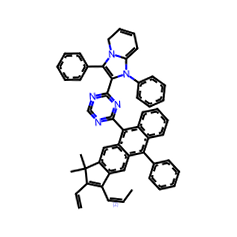 C=CC1=C(/C=C\C)c2cc3c(-c4ccccc4)c4ccccc4c(-c4ncnc(C5=C(c6ccccc6)N6CC=CC=C6N5c5ccccc5)n4)c3cc2C1(C)C